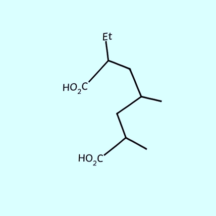 CCC(CC(C)CC(C)C(=O)O)C(=O)O